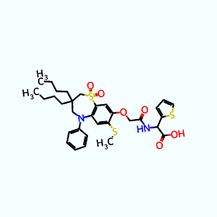 CCCCC1(CCCC)CN(c2ccccc2)c2cc(SC)c(OCC(=O)NC(C(=O)O)c3cccs3)cc2S(=O)(=O)C1